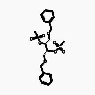 CS(=O)(=O)O[C@H](COCc1ccccc1)[C@@H](COCc1ccccc1)OS(C)(=O)=O